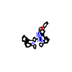 c1ccc(-c2nc(-c3ccc(-c4ccccc4)c(-n4c5ccccc5c5ccccc54)c3)nc(-n3c4ccccc4c4cccc(-c5ccc6oc7ccccc7c6c5)c43)n2)cc1